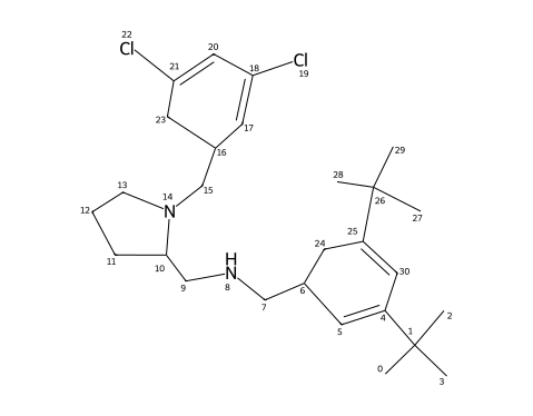 CC(C)(C)C1=CC(CNCC2CCCN2CC2C=C(Cl)C=C(Cl)C2)CC(C(C)(C)C)=C1